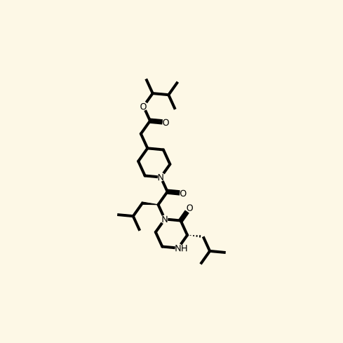 CC(C)C[C@@H]1NCCN([C@@H](CC(C)C)C(=O)N2CCC(CC(=O)OC(C)C(C)C)CC2)C1=O